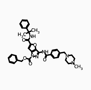 CN1CCN(Cc2ccc(C(=O)Nc3nn(C(=O)OCc4ccccc4)c4cc(C(=O)NC(C)(C)c5ccccc5)oc34)cc2)CC1